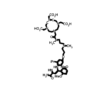 COc1cccc(OC)c1/C(=C/C(=N)C(N)=O)Nc1ccc(OCCCN(C)CCCN(C)C(=O)CN2CCN(CC(=O)O)CCN(CC(=O)O)CCN(CC(=O)O)CC2)cc1C(C)C